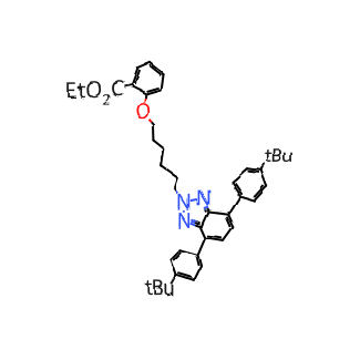 CCOC(=O)c1ccccc1OCCCCCCn1nc2c(-c3ccc(C(C)(C)C)cc3)ccc(-c3ccc(C(C)(C)C)cc3)c2n1